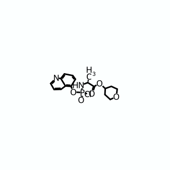 C[C@H](NP(=O)(Cl)Oc1cccc2ncccc12)C(=O)OC1CCOCC1